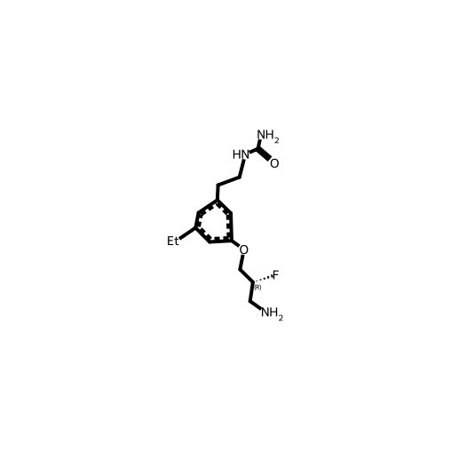 CCc1cc(CCNC(N)=O)cc(OC[C@H](F)CN)c1